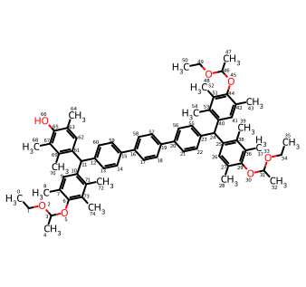 CCOC(C)Oc1c(C)cc(C(c2ccc(-c3ccc(-c4ccc(C(c5cc(C)c(OC(C)OCC)c(C)c5C)c5cc(C)c(OC(C)OCC)c(C)c5C)cc4)cc3)cc2)c2cc(C)c(O)c(C)c2C)c(C)c1C